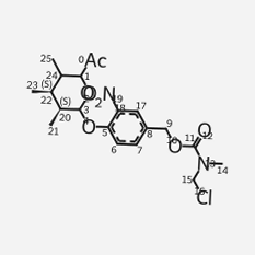 CC(=O)C1OC(Oc2ccc(COC(=O)N(C)CCl)cc2[N+](=O)[O-])[C@@H](C)[C@@H](C)C1C